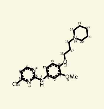 COc1cc(Nc2nccc(Cl)n2)ccc1OCCCN1CCCCC1